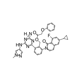 Cn1cc(Nc2nc(N)nc(-c3cccc(-n4ccc5cc(C6CC6)cc(F)c5c4=O)c3COC(=O)COc3ccccc3)n2)cn1